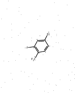 [CH2]Cc1ccc(C(F)(F)F)c(F)c1